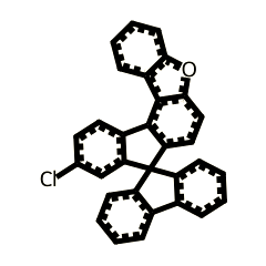 Clc1ccc2c(c1)C1(c3ccccc3-c3ccccc31)c1ccc3oc4ccccc4c3c1-2